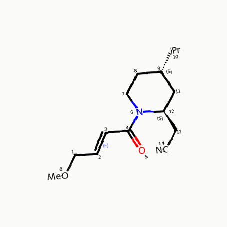 COC/C=C/C(=O)N1CC[C@H](C(C)C)C[C@H]1CC#N